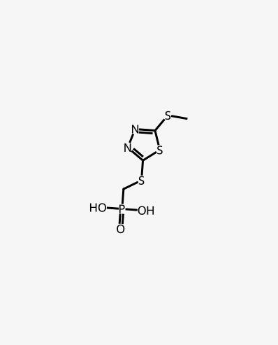 CSc1nnc(SCP(=O)(O)O)s1